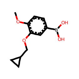 COc1ccc(B(O)O)cc1OCC1CC1